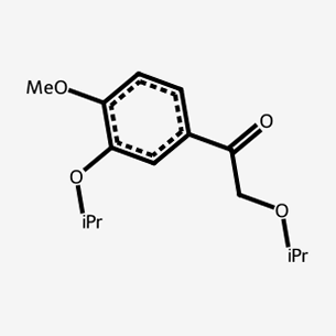 COc1ccc(C(=O)COC(C)C)cc1OC(C)C